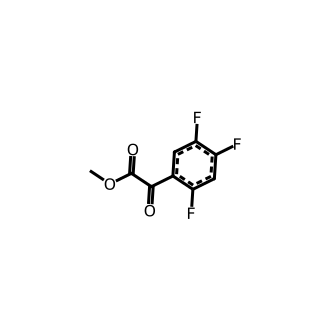 COC(=O)C(=O)c1cc(F)c(F)cc1F